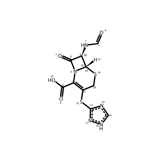 O=CN[C@@H]1C(=O)N2C(C(=O)O)=C(Sc3nc[nH]n3)CS[C@@H]12